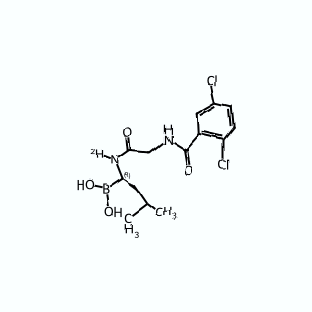 [2H]N(C(=O)CNC(=O)c1cc(Cl)ccc1Cl)[C@@H](CC(C)C)B(O)O